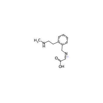 CNCCc1ccccc1C/N=C\C(=O)O